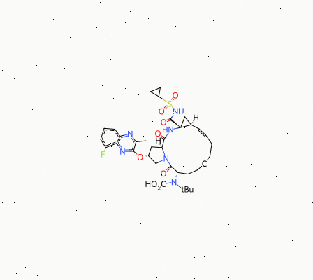 Cc1nc2cccc(F)c2nc1O[C@@H]1C[C@H]2C(=O)N[C@]3(C(=O)NS(=O)(=O)C4CC4)C[C@H]3C=CCCCCC[C@H](N(C(=O)O)C(C)(C)C)C(=O)N2C1